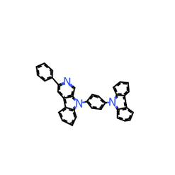 c1ccc(-c2cc3c4ccccc4n(-c4ccc(-n5c6ccccc6c6ccccc65)cc4)c3cn2)cc1